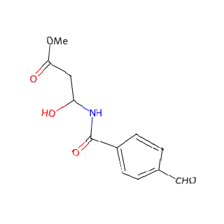 COC(=O)CC(O)NC(=O)c1ccc(C=O)cc1